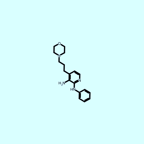 Nc1c(CCCN2CCOCC2)ccnc1Nc1ccccc1